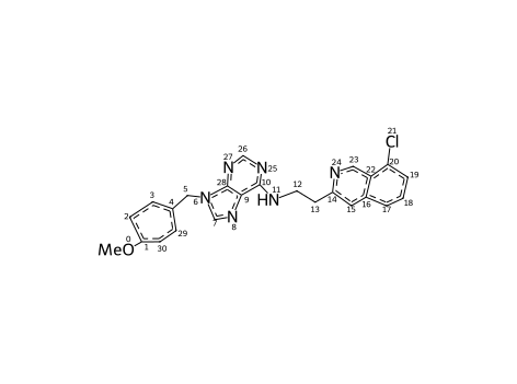 COc1ccc(Cn2cnc3c(NCCc4cc5cccc(Cl)c5cn4)ncnc32)cc1